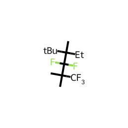 CCC(C)(C(C)(C)C)C(F)(F)C(C)(C)C(F)(F)F